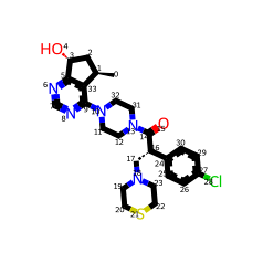 C[C@@H]1C[C@@H](O)c2ncnc(N3CCN(C(=O)[C@@H](CN4CCSCC4)c4ccc(Cl)cc4)CC3)c21